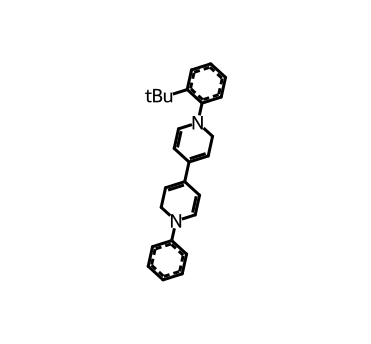 CC(C)(C)c1ccccc1N1C=CC(C2=CCN(c3ccccc3)C=C2)=CC1